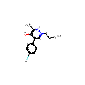 COCCn1cc(-c2ccc(F)cc2)c(=O)c(C(=O)O)n1